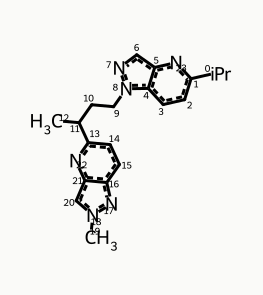 CC(C)c1ccc2c(cnn2CCC(C)c2ccc3nn(C)cc3n2)n1